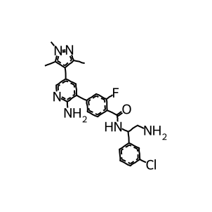 Cc1nn(C)c(C)c1-c1cnc(N)c(-c2ccc(C(=O)NC(CN)c3cccc(Cl)c3)c(F)c2)c1